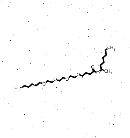 CCCCCCOCCOCCOCCOCCCC(=O)OC(C)CCCCCC